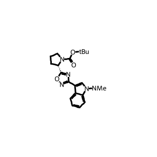 CNn1cc(-c2noc([C@@H]3CCCN3C(=O)OC(C)(C)C)n2)c2ccccc21